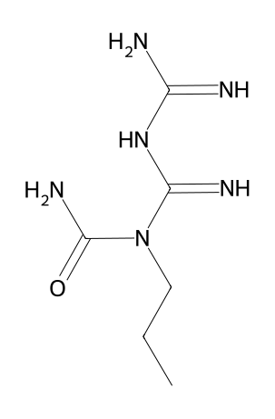 CCCN(C(=N)NC(=N)N)C(N)=O